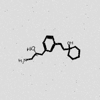 NC[C@H](O)Cc1cccc(CCC2(O)CCCCC2)c1